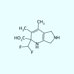 CC1=C(C)C(C(=O)O)(C(F)F)NC2=C1CNC2